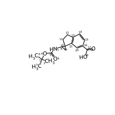 CC(C)(C)OC(=O)NC1CC12CCc1ccc(C(=O)O)cc12